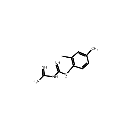 Cc1ccc(NC(=N)NC(=N)N)c(I)c1